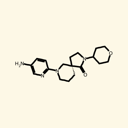 Nc1ccc(N2CCC[C@@]3(CCN(C4CCOCC4)C3=O)C2)nc1